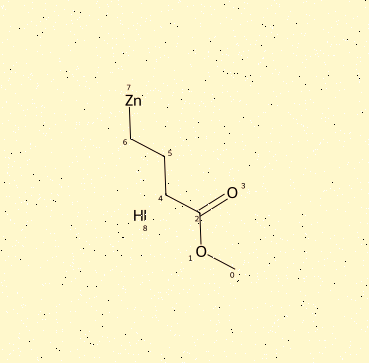 COC(=O)CC[CH2][Zn].I